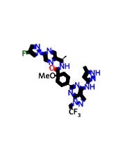 CO[C@]1(C(=O)N[C@@H](C)c2cnc(-n3cc(F)cn3)cn2)CC[C@@H](c2nc(Nc3cc(C)[nH]n3)c3cnn(CC(F)(F)F)c3n2)CC1